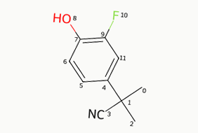 CC(C)(C#N)c1ccc(O)c(F)c1